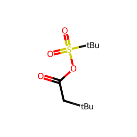 CC(C)(C)CC(=O)OS(=O)(=O)C(C)(C)C